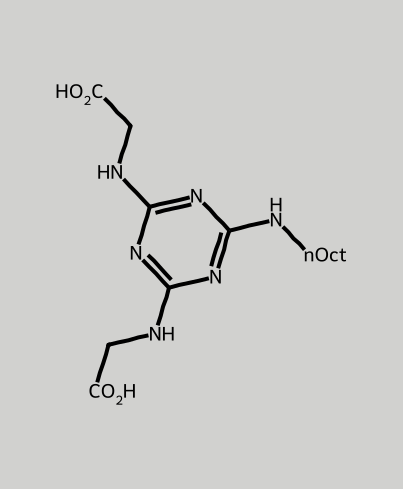 CCCCCCCCNc1nc(NCC(=O)O)nc(NCC(=O)O)n1